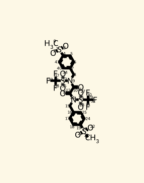 CS(=O)(=O)c1ccc(CN(C(=O)C(=O)N(Cc2ccc(S(C)(=O)=O)cc2)S(=O)(=O)C(F)(F)F)S(=O)(=O)C(F)(F)F)cc1